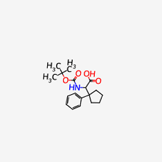 CC(C)(C)OC(=O)NC(C(=O)O)C1(c2ccccc2)CCCC1